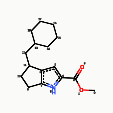 COC(=O)c1cc2c([nH]1)CCC2CC1CCCCC1